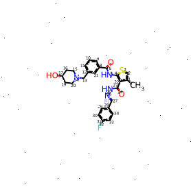 Cc1csc(NC(=O)c2cccc(CN3CCC(O)CC3)c2)c1C(=O)N/N=C/c1ccc(F)cc1